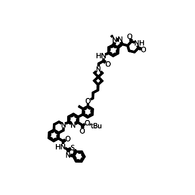 Cc1c(OCCCC2CC3(C2)CN(CC(=O)Nc2ccc4c(C5CCC(=O)NC5=O)nn(C)c4c2)C3)cccc1-c1ccc(N2CCc3cccc(C(=O)Nc4nc5ccccc5s4)c3C2)nc1C(=O)OC(C)(C)C